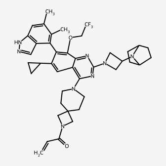 C=CC(=O)N1CC2(CCN(c3nc(N4CC(N5C6CCC5CC6)C4)nc4c(OCC(F)(F)F)c(-c5c(C)c(C)cc6[nH]ncc56)c(C5CC5)cc34)CC2)C1